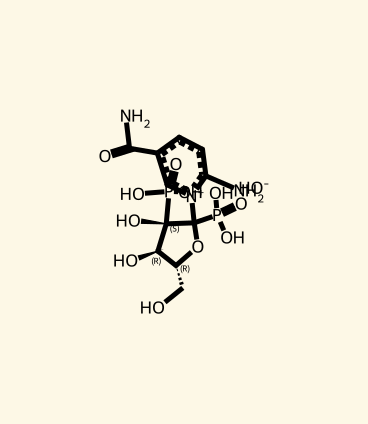 NC(=O)c1ccc(N)[n+](C2(P(=O)(O)O)O[C@H](CO)[C@@H](O)[C@]2(O)P(=O)(O)O)c1.[OH-]